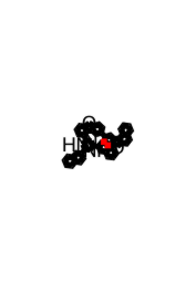 c1ccc2cc(C3=NC(c4cccc5oc6ccc(-c7ccc8oc9ccc%10ccccc%10c9c8c7)cc6c45)NC(c4ccc5ccccc5c4)N3)ccc2c1